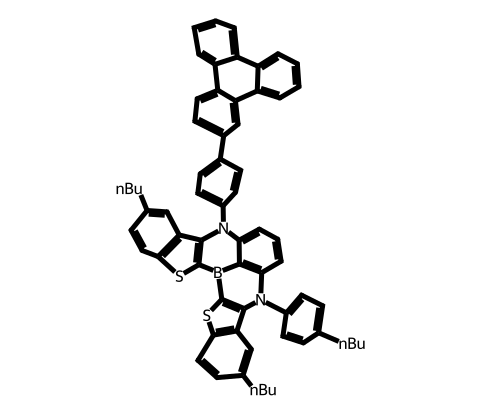 CCCCc1ccc(N2c3cccc4c3B(c3sc5ccc(CCCC)cc5c32)c2sc3ccc(CCCC)cc3c2N4c2ccc(-c3ccc4c5ccccc5c5ccccc5c4c3)cc2)cc1